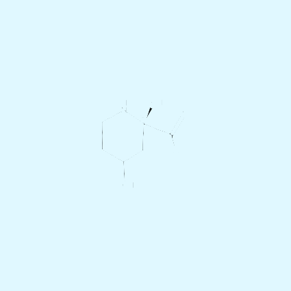 CC1CCN[C@](C)(C(=O)O)C1